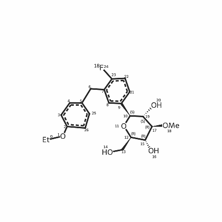 CCOc1ccc(Cc2cc([C@@H]3O[C@H](CO)[C@@H](O)[C@H](OC)[C@H]3O)ccc2[18F])cc1